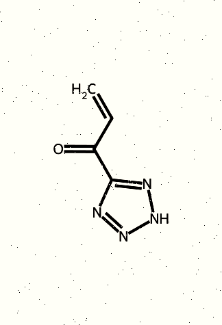 C=CC(=O)c1nn[nH]n1